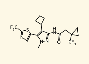 Cn1nc(NC(=O)CC2(C(F)(F)F)CC2)c(C2CCC2)c1-c1cnc(C(F)(F)F)s1